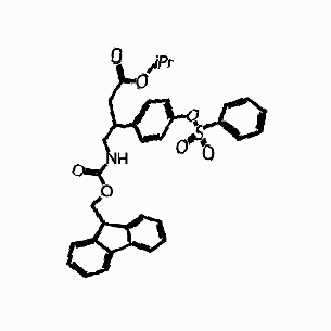 CC(C)OC(=O)CC(CNC(=O)OCC1c2ccccc2-c2ccccc21)c1ccc(OS(=O)(=O)c2ccccc2)cc1